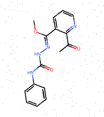 COC(=NNC(=O)Nc1ccccc1)c1cccnc1C(C)=O